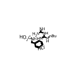 CCCCNC(=N)NC(=N)N.Cl.O=C(O)NCc1ccccc1